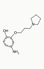 Nc1ccc(O)c(OCCCN2CCCC2)c1